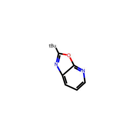 CC(C)(C)c1nc2cccnc2o1